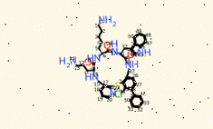 NCCCCC[C@@H]1NC(=O)[C@H](CCCN)NCc2cccnc2Sc2c(ccc(-c3ccccc3)c2Cl)CNC(=O)[C@H](Cc2c[nH]c3ccccc23)NC1=O